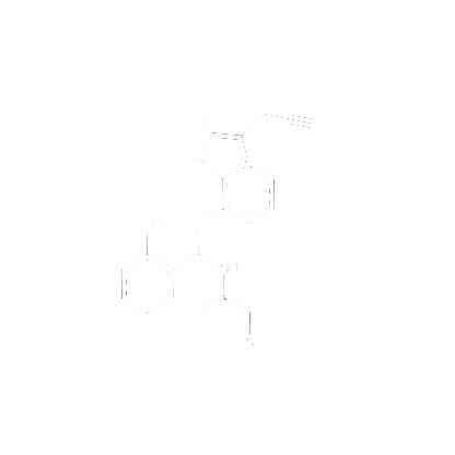 C#CCc1c(C)nc2c(OC(NC(=O)CN)c3ccccc3C)cccn12